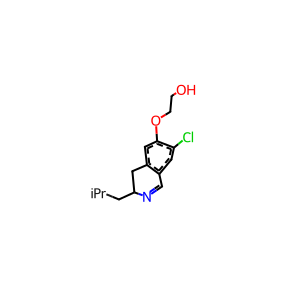 CC(C)CC1Cc2cc(OCCO)c(Cl)cc2C=N1